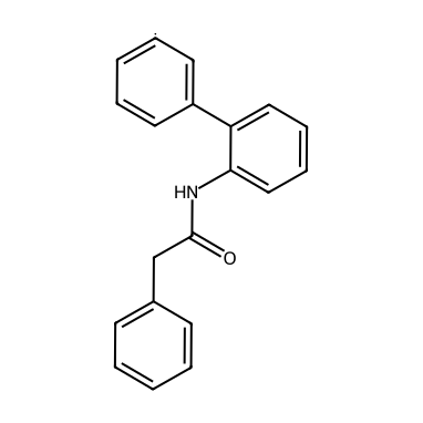 O=C(Cc1ccccc1)Nc1ccccc1-c1c[c]ccc1